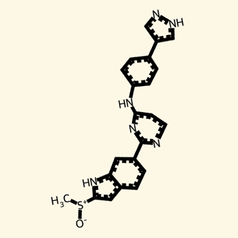 C[S+]([O-])c1cc2ccc(-c3nccc(Nc4ccc(-c5cn[nH]c5)cc4)n3)cc2[nH]1